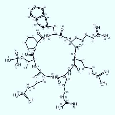 C[C@H](OP(=O)(O)O)C1NC(=O)[C@@H](CCCNC(=N)N)NC(=O)C(CCCNC(=N)N)NC(=O)[C@H](CCCNC(=N)N)NC(=O)C(CCCNC(=N)N)NC(=O)[C@H](Cc2ccc3ccccc3c2)NC(=O)C2CCCCN2C1=O